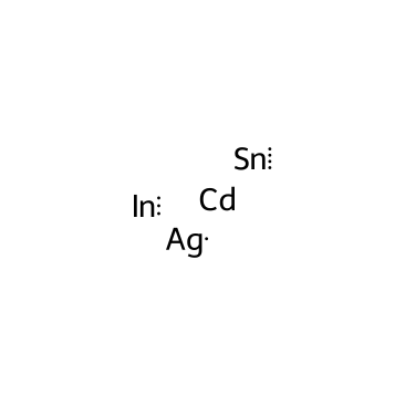 [Ag].[Cd].[In].[Sn]